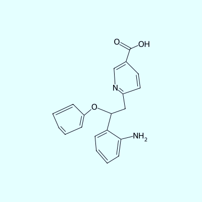 Nc1ccccc1C(Cc1ccc(C(=O)O)cn1)Oc1ccccc1